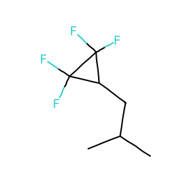 CC(C)CC1C(F)(F)C1(F)F